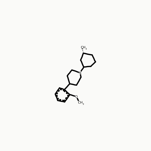 COc1ccccc1C1CCN(C2CCC[C@@H](C)C2)CC1